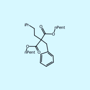 CCCCCOC(=O)C(CCC(C)C)(Cc1ccccc1)C(=O)OCCCCC